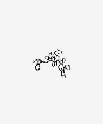 CC(C)C(NC(=O)C(=O)Cc1c[nH]c2ccccc12)C(=O)NC1CCNC(=O)C1=O